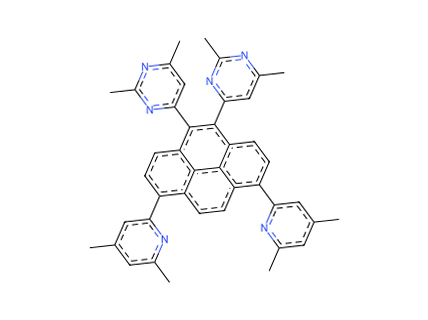 Cc1cc(C)nc(-c2ccc3c(-c4cc(C)nc(C)n4)c(-c4cc(C)nc(C)n4)c4ccc(-c5cc(C)cc(C)n5)c5ccc2c3c54)c1